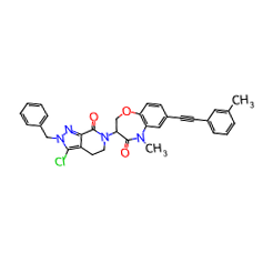 Cc1cccc(C#Cc2ccc3c(c2)N(C)C(=O)C(N2CCc4c(nn(Cc5ccccc5)c4Cl)C2=O)CO3)c1